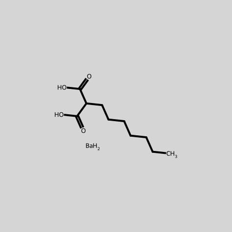 CCCCCCCC(C(=O)O)C(=O)O.[BaH2]